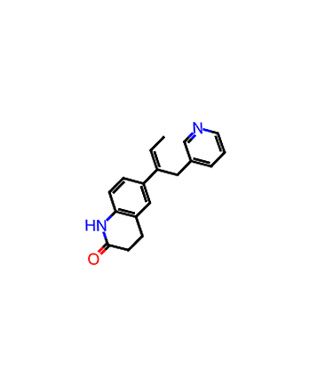 CC=C(Cc1cccnc1)c1ccc2c(c1)CCC(=O)N2